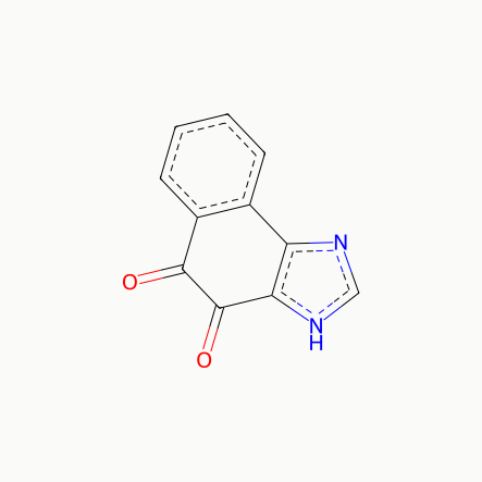 O=C1C(=O)c2[nH]cnc2-c2ccccc21